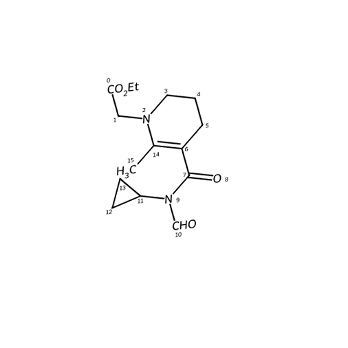 CCOC(=O)CN1CCCC(C(=O)N(C=O)C2CC2)=C1C